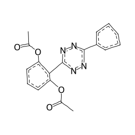 CC(=O)Oc1cccc(OC(C)=O)c1-c1nnc(-c2ccccc2)nn1